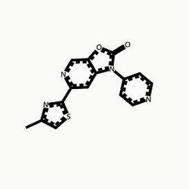 Cc1csc(-c2cc3c(cn2)oc(=O)n3-c2ccncc2)n1